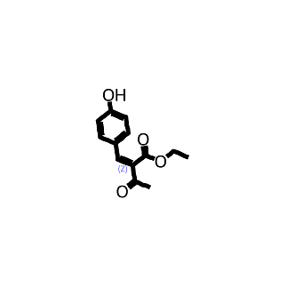 CCOC(=O)/C(=C\c1ccc(O)cc1)C(C)=O